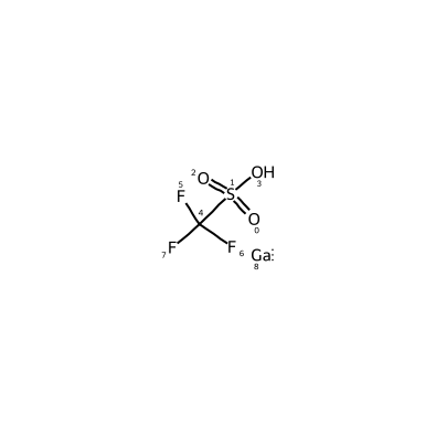 O=S(=O)(O)C(F)(F)F.[Ga]